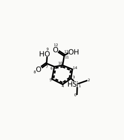 C[SiH](C)c1ccc(C(=O)O)c(C(=O)O)c1